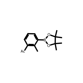 CC(=O)c1cccc(B2OC(C)(C)C(C)(C)O2)c1C